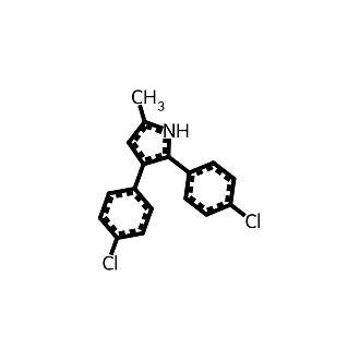 Cc1cc(-c2ccc(Cl)cc2)c(-c2ccc(Cl)cc2)[nH]1